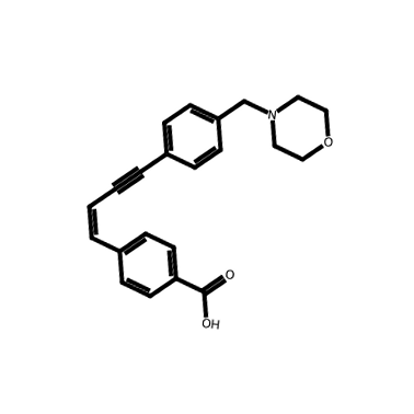 O=C(O)c1ccc(/C=C\C#Cc2ccc(CN3CCOCC3)cc2)cc1